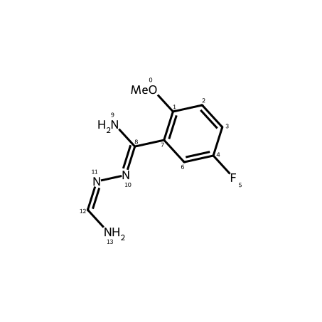 COc1ccc(F)cc1/C(N)=N/N=C\N